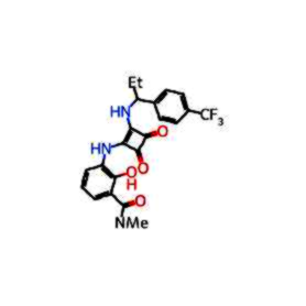 CCC(Nc1c(Nc2cccc(C(=O)NC)c2O)c(=O)c1=O)c1ccc(C(F)(F)F)cc1